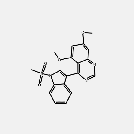 COc1cc(OC)c2c(-c3cn(S(C)(=O)=O)c4ccccc34)ncnc2c1